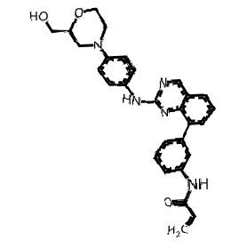 C=CC(=O)Nc1cccc(-c2cccc3cnc(Nc4ccc(N5CCO[C@H](CO)C5)cc4)nc23)c1